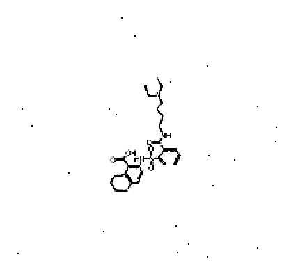 CCN(CC)CCCCNC(=O)c1ccccc1S(=O)(=O)Nc1ccc2c(c1C(=O)O)CCCC2